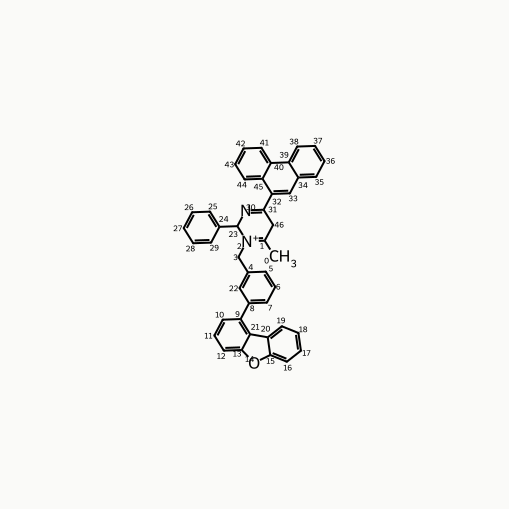 CC1=[N+](Cc2cccc(-c3cccc4oc5ccccc5c34)c2)C(c2ccccc2)N=C(c2cc3ccccc3c3ccccc23)C1